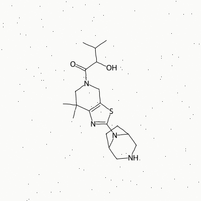 CC(C)C(O)C(=O)N1Cc2sc(N3C4CCC3CNC4)nc2C(C)(C)C1